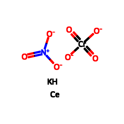 O=[N+]([O-])[O-].[Ce].[KH].[O]=[Cr](=[O])([O-])[O-]